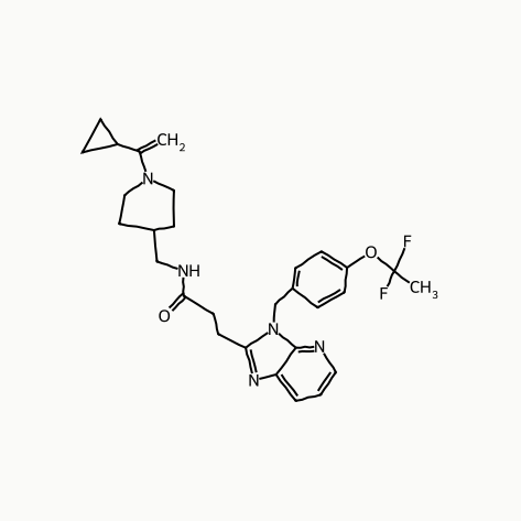 C=C(C1CC1)N1CCC(CNC(=O)CCc2nc3cccnc3n2Cc2ccc(OC(C)(F)F)cc2)CC1